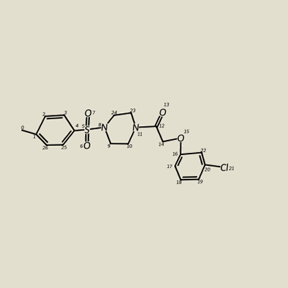 Cc1ccc(S(=O)(=O)N2CCN(C(=O)COc3cccc(Cl)c3)CC2)cc1